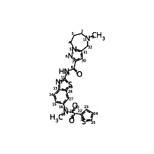 CN1CCCn2nc(C(=O)Nc3nc4ccc(N(C)S(=O)(=O)c5cccs5)cc4s3)cc2C1